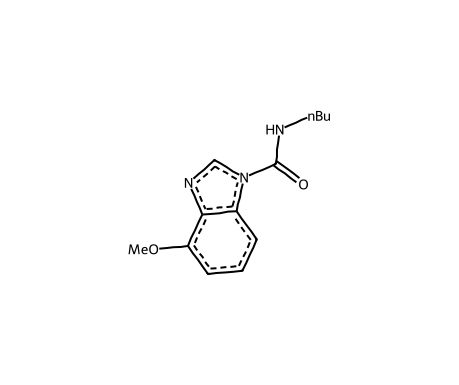 CCCCNC(=O)n1cnc2c(OC)cccc21